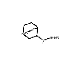 CCCCCNC1C[N+]2CCC1CC2